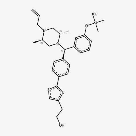 C=CCN1C[C@H](C)N([C@H](c2ccc(-c3nc(CCO)cs3)cc2)c2cccc(O[Si](C)(C)C(C)(C)C)c2)C[C@H]1C